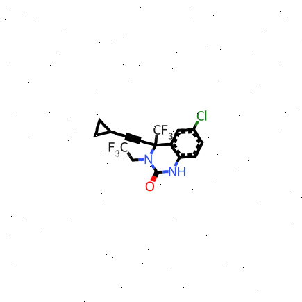 O=C1Nc2ccc(Cl)cc2C(C#CC2CC2)(C(F)(F)F)N1CC(F)(F)F